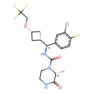 C[C@@H]1C(=O)NCCN1C(=O)N[C@H](c1ccc(F)c(Cl)c1)[C@H]1C[C@@H](OCC(F)(F)F)C1